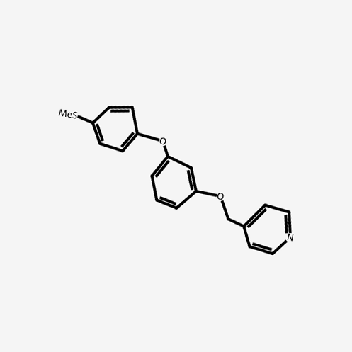 CSc1ccc(Oc2cccc(OCc3ccncc3)c2)cc1